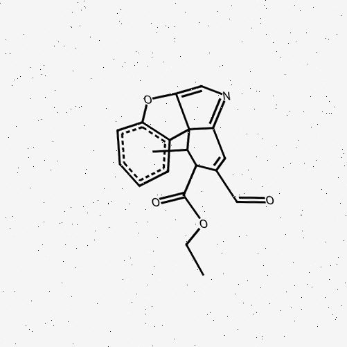 CCOC(=O)C1C(C=O)=CC2=NC=C3Oc4ccccc4C32C1C